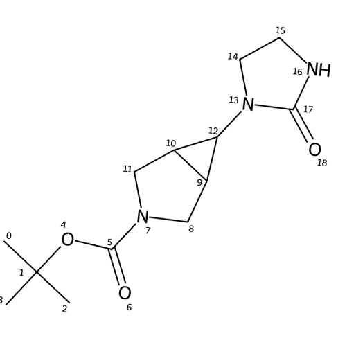 CC(C)(C)OC(=O)N1CC2C(C1)C2N1CCNC1=O